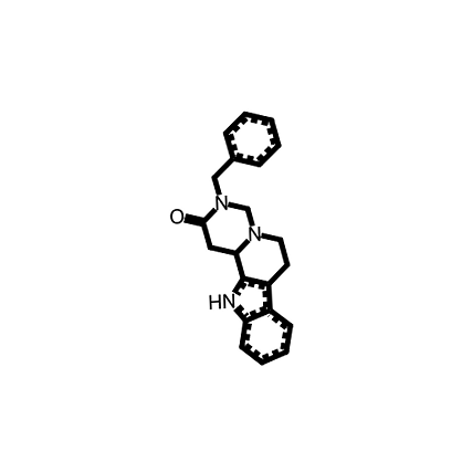 O=C1CC2c3[nH]c4ccccc4c3CCN2CN1Cc1ccccc1